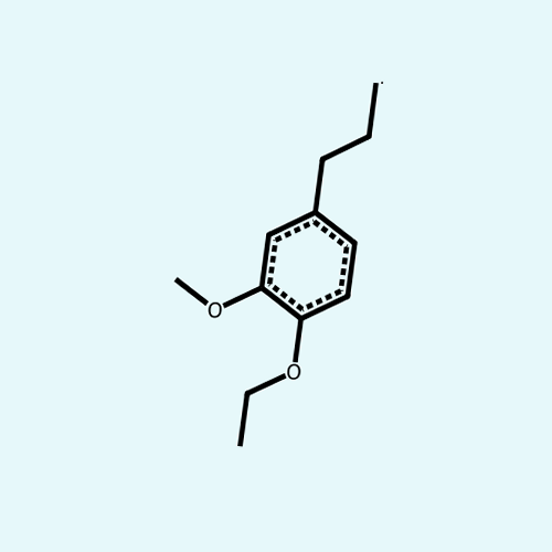 [CH2]CCc1ccc(OCC)c(OC)c1